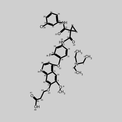 CCN(CC)CC.COc1cc2c(Oc3ccc(NC(=O)C4(C(=O)Nc5cccc(Cl)c5)CC4)cc3F)ccnc2cc1OCCC(=O)O